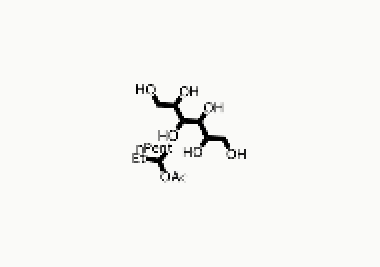 CCCCCC(CC)OC(C)=O.OCC(O)C(O)C(O)C(O)CO